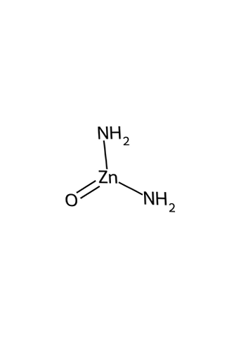 [NH2][Zn]([NH2])=[O]